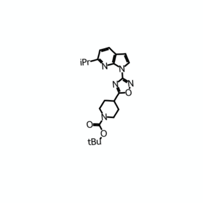 CC(C)c1ccc2ccn(-c3noc(C4CCN(C(=O)OC(C)(C)C)CC4)n3)c2n1